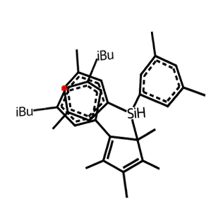 CCC(C)c1cc(C2=C(C)C(C)=C(C)C2(C)[SiH](c2cc(C)cc(C)c2)c2cc(C)cc(C)c2)cc(C(C)CC)c1